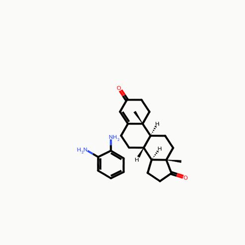 C[C@]12CCC(=O)C=C1CC[C@@H]1[C@@H]2CC[C@]2(C)C(=O)CC[C@@H]12.Nc1ccccc1N